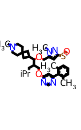 Cc1cccc(C)c1-c1cc(OCC(CC(C)C)C(OCc2cc([S]=O)nn2C)C2CC3(CCN(C)CC3)C2)ncn1